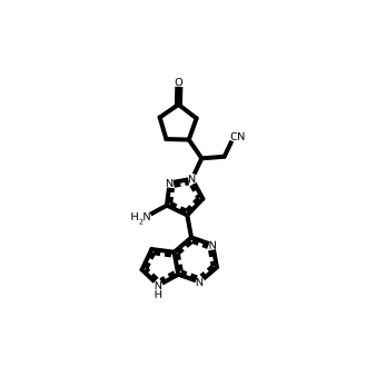 N#CCC(C1CCC(=O)C1)n1cc(-c2ncnc3[nH]ccc23)c(N)n1